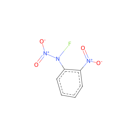 O=[N+]([O-])c1ccccc1N(F)[N+](=O)[O-]